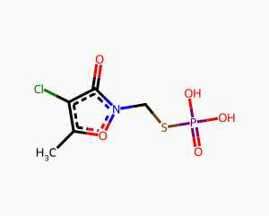 Cc1on(CSP(=O)(O)O)c(=O)c1Cl